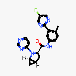 Cc1ccc(NC(=O)[C@H]2C[C@H]3C[C@H]3N2c2ccncn2)cc1-c1ncc(F)cn1